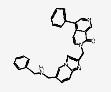 O=c1c2cncc(-c3ccccc3)c2ccn1Cc1cn2cc(CNCc3ccccc3)ccc2n1